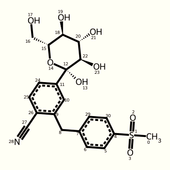 CS(=O)(=O)c1ccc(Cc2cc([C@@]3(O)O[C@H](CO)[C@@H](O)[C@H](O)[C@H]3O)ccc2C#N)cc1